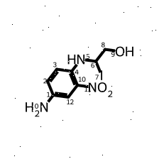 Nc1ccc(NC(I)CO)c([N+](=O)[O-])c1